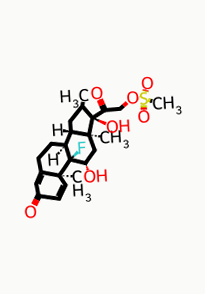 CC1C[C@H]2[C@@H]3CCC4=CC(=O)C=C[C@]4(C)[C@@]3(F)[C@@H](O)C[C@]2(C)[C@@]1(O)C(=O)COS(C)(=O)=O